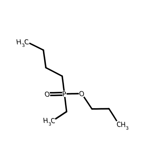 CCCCP(=O)(CC)OCCC